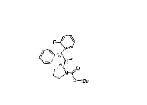 C[C@H]([C@H](c1ccccc1)c1ccccc1F)[C@H]1CCCN1C(=O)OC(C)(C)C